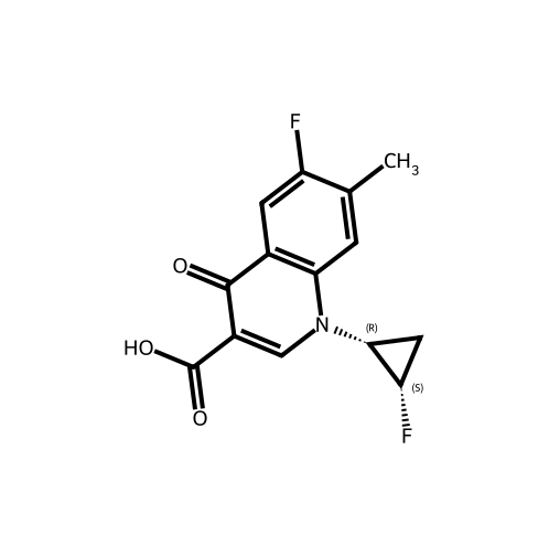 Cc1cc2c(cc1F)c(=O)c(C(=O)O)cn2[C@@H]1C[C@@H]1F